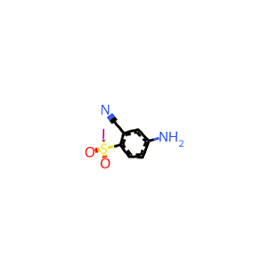 N#Cc1cc(N)ccc1S(=O)(=O)I